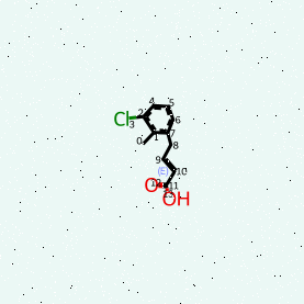 Cc1c(Cl)cccc1C/C=C/C(=O)O